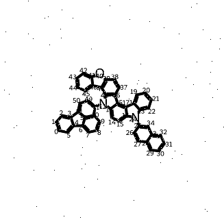 c1ccc2c(c1)-c1cccc3c(-n4c5ccc6c(c7ccccc7n6-c6ccc7ccccc7c6)c5c5ccc6oc7ccccc7c6c54)ccc-2c13